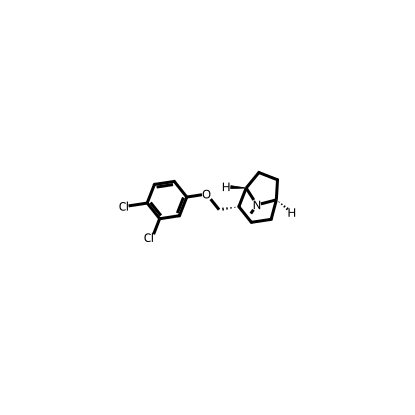 CN1[C@@H]2CC[C@H](COc3ccc(Cl)c(Cl)c3)[C@@H]1CC2